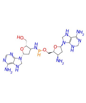 NC1=NCNC2=C1NCN2[C@H]1C[C@@H](N)[C@@H](COPNC2C[C@H](N3CNc4c(N)ncnc43)O[C@@H]2CO)O1